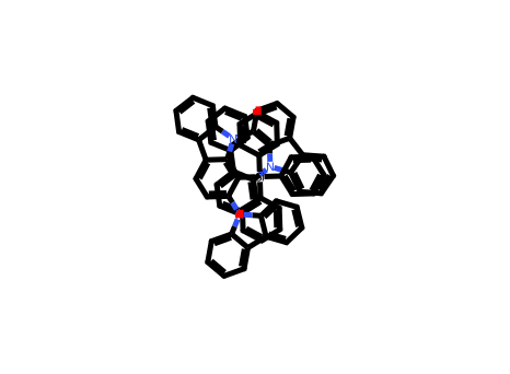 c1ccc(-c2ccccc2-n2c3ccccc3c3cccc(-n4c5ccccc5c5ccc(-n6c7ccccc7c7ccccc76)c([Si](c6ccccc6)(c6ccccc6)c6ccccc6)c54)c32)cc1